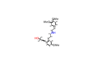 COc1ccc(C#CC(C)(C)O)c(CCCNCCc2ccc(OC)c(OC)c2)c1